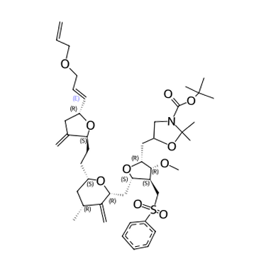 C=CCOC/C=C/[C@H]1CC(=C)[C@H](CC[C@H]2C[C@@H](C)C(=C)[C@@H](C[C@@H]3O[C@H](CC4CN(C(=O)OC(C)(C)C)C(C)(C)O4)[C@H](OC)[C@H]3CS(=O)(=O)c3ccccc3)O2)O1